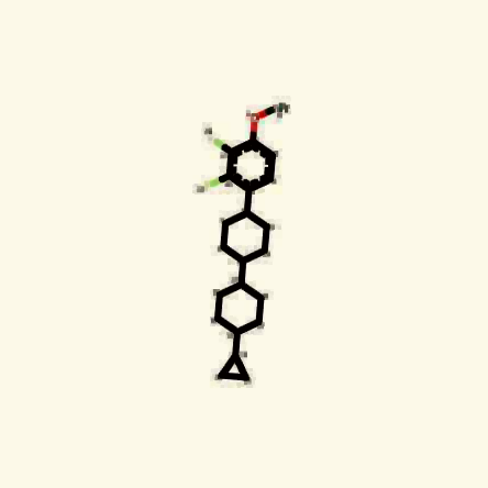 CCCOc1ccc(C2CCC(C3CCC(C4CC4)CC3)CC2)c(F)c1F